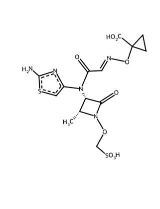 C[C@@H]1[C@H](N(C(=O)C=NOC2(C(=O)O)CC2)c2csc(N)n2)C(=O)N1OCS(=O)(=O)O